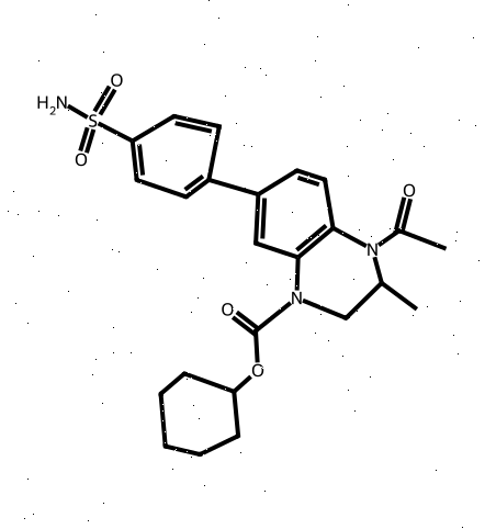 CC(=O)N1c2ccc(-c3ccc(S(N)(=O)=O)cc3)cc2N(C(=O)OC2CCCCC2)CC1C